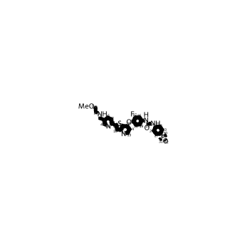 COCCNCc1ccc(-c2cc3nccc(Oc4ccc(NC(=O)Nc5ccc(P(C)(C)=O)cc5)cc4F)c3s2)nc1